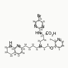 Cc1ncccc1OCCN(CCCCc1ccc2c(n1)NCCC2)CC[C@H](Nc1ncc(Br)cn1)C(=O)O